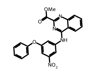 COC(=O)c1nc(Nc2cc(Oc3ccccc3)cc([N+](=O)[O-])c2)c2ccccc2n1